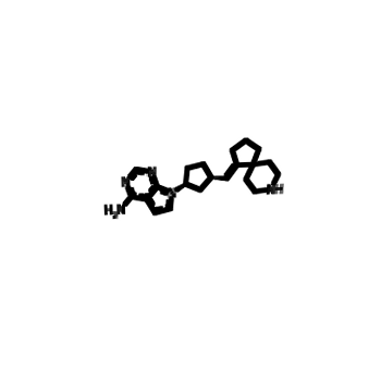 Nc1ncnc2c1ccn2[C@H]1CC[C@@H](/C=C2\CCCC23CCNCC3)C1